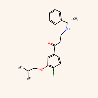 CCCC(CCC)COc1cc(C(=O)CCN[C@@H](C)c2ccccc2)ccc1F